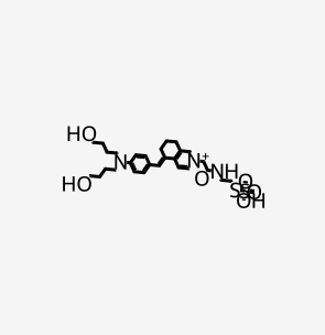 O=C(C[n+]1ccc2c(c1)CCC/C2=C\c1ccc(N(CCCCO)CCCCO)cc1)NCCSS(=O)(=O)O